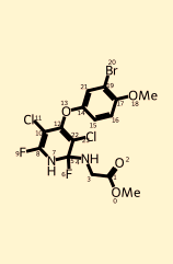 COC(=O)CNC1(F)NC(F)=C(Cl)C(Oc2ccc(OC)c(Br)c2)=C1Cl